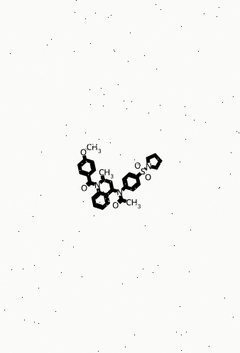 COc1ccc(C(=O)N2c3ccccc3C(N(C(C)=O)c3ccc(S(=O)(=O)N4CCCC4)cc3)CC2C)cc1